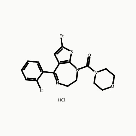 CCc1cc2c(s1)N(C(=O)N1CCOCC1)CCN=C2c1ccccc1Cl.Cl